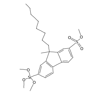 CCCCCCCCC1(C)c2cc([Si](OC)(OC)OC)ccc2-c2ccc(S(=O)(=O)OC)cc21